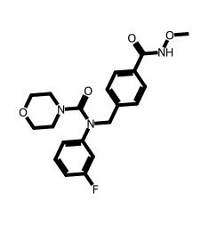 CONC(=O)c1ccc(CN(C(=O)N2CCOCC2)c2cccc(F)c2)cc1